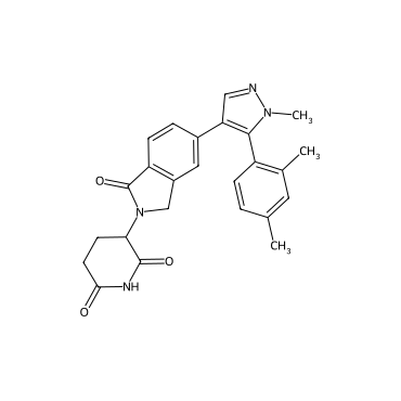 Cc1ccc(-c2c(-c3ccc4c(c3)CN(C3CCC(=O)NC3=O)C4=O)cnn2C)c(C)c1